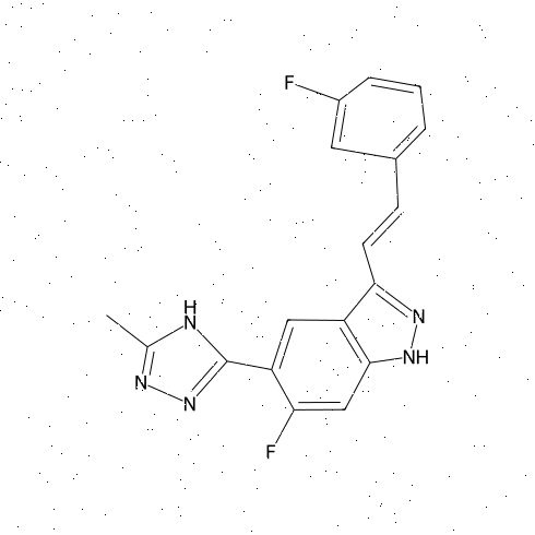 Cc1nnc(-c2cc3c(C=Cc4cccc(F)c4)n[nH]c3cc2F)[nH]1